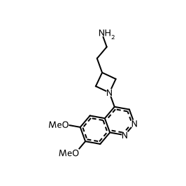 COc1cc2nncc(N3CC(CCN)C3)c2cc1OC